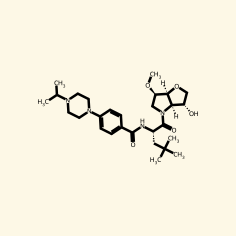 CO[C@@H]1CN(C(=O)[C@H](CC(C)(C)C)NC(=O)c2ccc(N3CCN(C(C)C)CC3)cc2)[C@H]2[C@@H]1OC[C@@H]2O